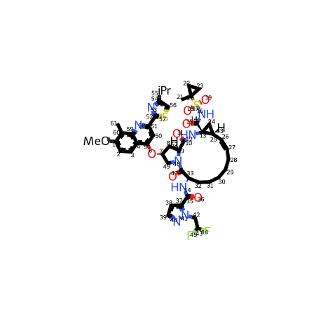 COc1ccc2c(O[C@@H]3C[C@H]4C(=O)N[C@]5(C(=O)NS(=O)(=O)C6(C)CC6)C[C@H]5/C=C\CCCCC[C@H](NC(=O)c5ccnn5CC(F)F)C(=O)N4C3)cc(-c3nc(C(C)C)cs3)nc2c1C